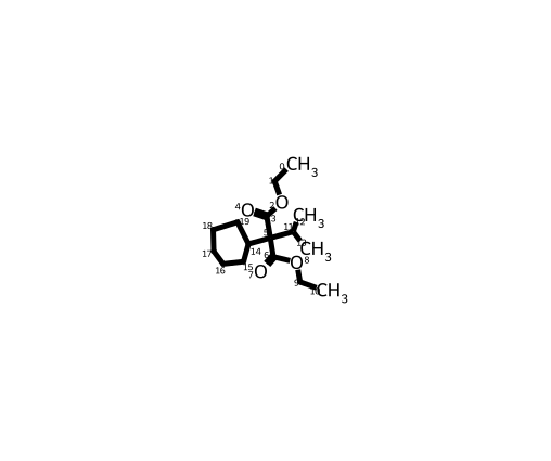 CCOC(=O)C(C(=O)OCC)(C(C)C)C1CCCCC1